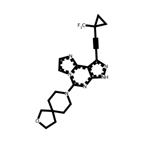 FC(F)(F)C1(C#Cc2n[nH]c3nc(N4CCC5(CCOC5)CC4)n4ccnc4c23)CC1